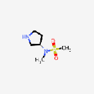 CN([C@H]1CCNC1)S(C)(=O)=O